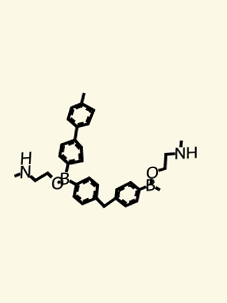 CNCCOB(C)c1ccc(Cc2ccc(B(OCCNC)c3ccc(-c4ccc(C)cc4)cc3)cc2)cc1